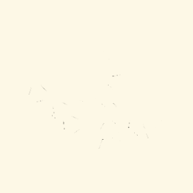 C=C[C@@H]1C[C@]1(NC(=O)[C@@H]1C[C@@H](Oc2c3ccc(F)cc3nc3c2oc2c(OC)cccc23)CN1C(=O)[C@@H](NC(=O)OC1CCCC1)C(C)C)C(=O)NS(=O)(=O)C1CC1